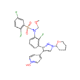 COCN(c1cccc(-c2nn(C3CCCCO3)cc2-c2cc[n+](O)cc2)c1F)S(=O)(=O)c1cc(F)ccc1F